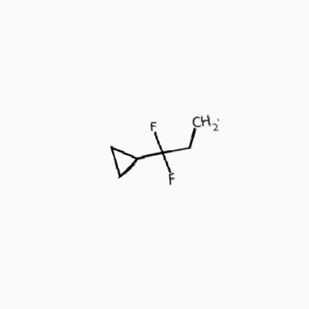 [CH2]CC(F)(F)C1CC1